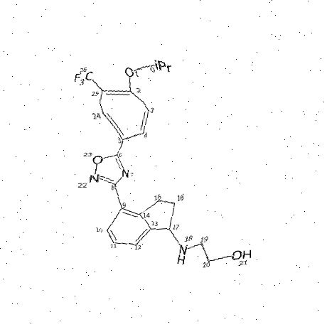 CC(C)Oc1ccc(-c2nc(-c3cccc4c3CCC4NCCO)no2)cc1C(F)(F)F